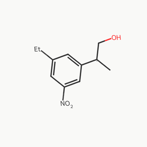 CCc1cc([C](C)CO)cc([N+](=O)[O-])c1